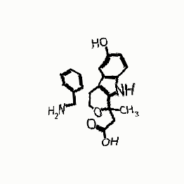 CC1(CC(=O)O)OCCc2c1[nH]c1ccc(O)cc21.NCc1ccccc1